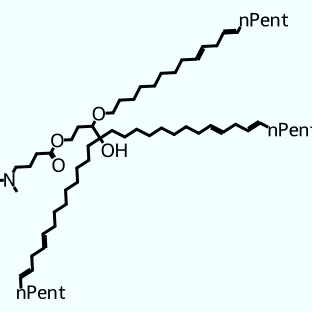 CCCCCC=CCC=CCCCCCCCCOC(CCOC(=O)CCCN(C)C)C(O)(CCCCCCCCC=CCC=CCCCCC)CCCCCCCCC=CCC=CCCCCC